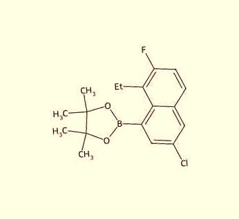 CCc1c(F)ccc2cc(Cl)cc(B3OC(C)(C)C(C)(C)O3)c12